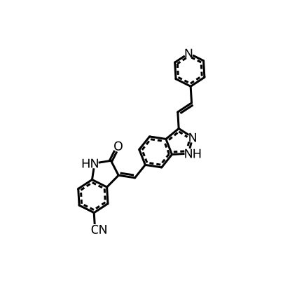 N#Cc1ccc2c(c1)C(=Cc1ccc3c(C=Cc4ccncc4)n[nH]c3c1)C(=O)N2